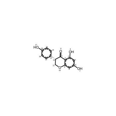 O=C1c2c(O)cc(O)cc2OC[C@@H]1c1ccc(O)cc1